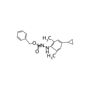 Cc1cc(C2CC2)cc(C)c1NNC(=O)OCc1ccccc1